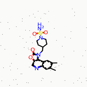 Cc1cc2ncc3oc(=O)n(CC4CCN(S(N)(=O)=O)CC4)c3c2cc1C